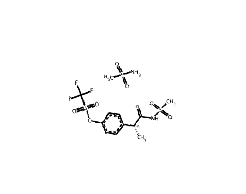 CS(N)(=O)=O.C[C@@H](C(=O)NS(C)(=O)=O)c1ccc(OS(=O)(=O)C(F)(F)F)cc1